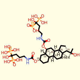 CCCCCC[C@](C)(O)[C@H]1CC[C@H]2[C@@H]3C[C@H](OC(=O)NCCCC(O)([PH](=O)O)P(=O)(O)O)[C@H]4C[C@@H](OC(=O)NCCCC(O)(P(=O)(O)O)[PH](O)(O)O)CC[C@]4(C)[C@H]3CC[C@@]21C